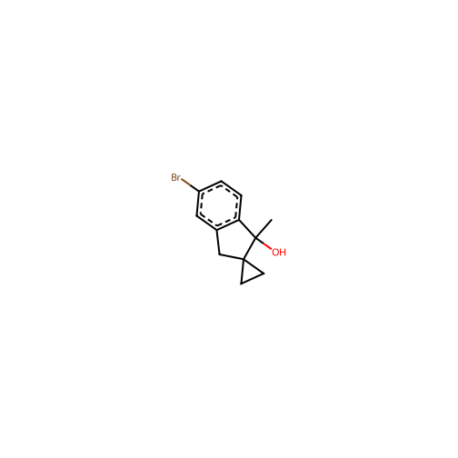 CC1(O)c2ccc(Br)cc2CC12CC2